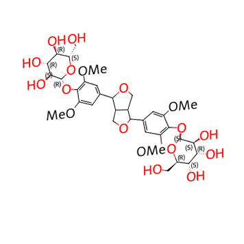 COc1cc(C2OCC3C(c4cc(OC)c(O[C@@H]5O[C@H](CO)[C@@H](O)[C@@H](O)[C@@H]5O)c(OC)c4)OCC23)cc(OC)c1O[C@H]1O[C@@H](CO)[C@H](O)[C@@H](O)[C@@H]1O